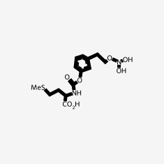 CSCCC(NC(=O)Oc1cccc(CCON(O)O)c1)C(=O)O